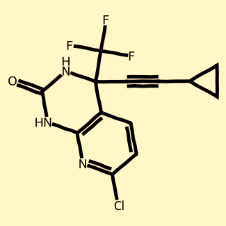 O=C1Nc2nc(Cl)ccc2C(C#CC2CC2)(C(F)(F)F)N1